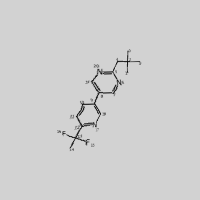 CC(C)(C)Cc1ncc(-c2ccc(C(C)(F)F)nc2)cn1